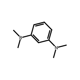 CB(C)c1cccc(N(C)C)c1